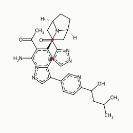 CC(=O)c1c([C@H]2C[C@H]3CC[C@@H](C2)N3C(=O)c2nnc[nH]2)nc2c(-c3ccc(C(O)CC(C)C)nc3)cnn2c1N